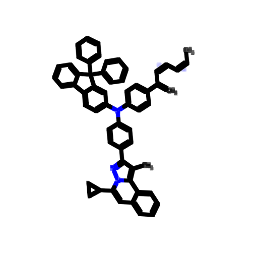 C=C(/C=C\C=C/C)c1ccc(N(c2ccc(-c3nn4c(C5CC5)cc5ccccc5c4c3C)cc2)c2ccc3c(c2)C(c2ccccc2)(c2ccccc2)c2ccccc2-3)cc1